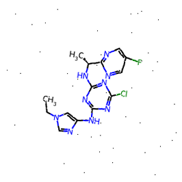 CCn1cnc(Nc2nc(Cl)nc(N[C@@H](C)c3ncc(F)cn3)n2)c1